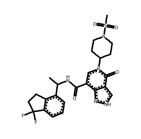 CC(NC(=O)c1cn(C2CCN(S(C)(=O)=O)CC2)c(=O)c2c[nH]nc12)c1cccc2c1CCC2(F)F